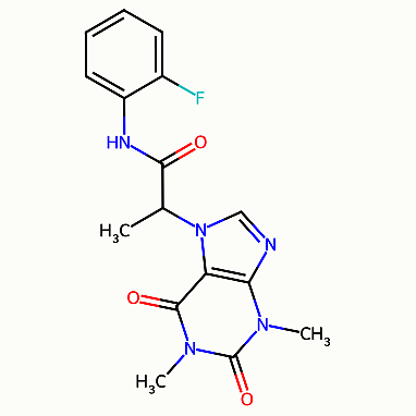 CC(C(=O)Nc1ccccc1F)n1cnc2c1c(=O)n(C)c(=O)n2C